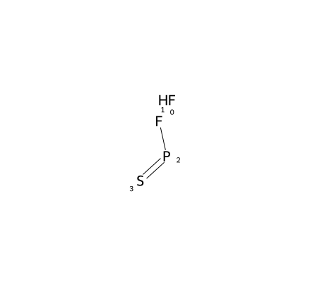 F.FP=S